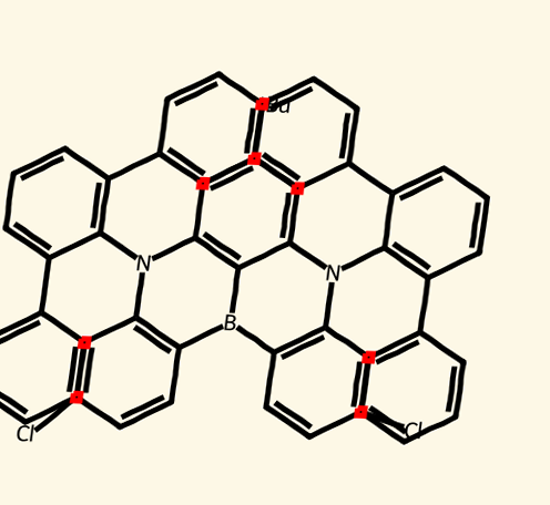 CC(C)(C)c1cc2c3c(c1)N(c1c(-c4ccccc4)cccc1-c1ccccc1)c1cc(Cl)ccc1B3c1ccc(Cl)cc1N2c1c(-c2ccccc2)cccc1-c1ccccc1